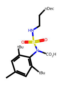 CCCCCCCCCCCCNS(=O)(=O)N(C(=O)O)c1c(C(C)(C)C)cc(C)cc1C(C)(C)C